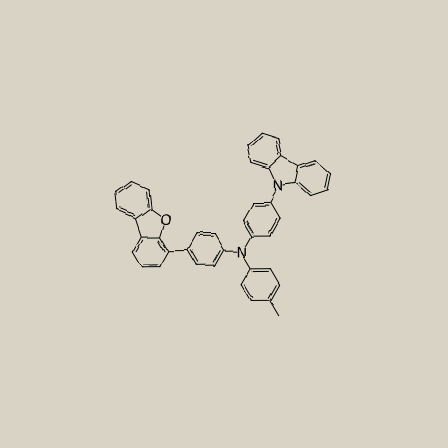 Cc1ccc(N(c2ccc(-c3cccc4c3oc3ccccc34)cc2)c2ccc(-n3c4ccccc4c4ccccc43)cc2)cc1